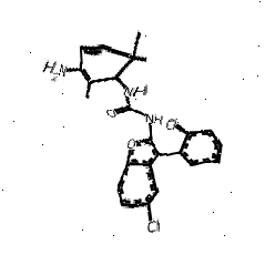 CC1=C(N)C=CC(C)(C)C1NC(=O)Nc1oc2ccc(Cl)cc2c1-c1ccccc1Cl